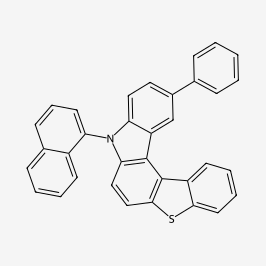 c1ccc(-c2ccc3c(c2)c2c4c(ccc2n3-c2cccc3ccccc23)sc2ccccc24)cc1